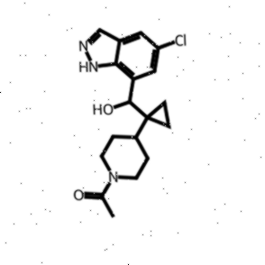 CC(=O)N1CCC(C2(C(O)c3cc(Cl)cc4cn[nH]c34)CC2)CC1